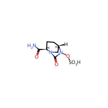 NC(=O)[C@H]1CC[C@H]2CN1C(=O)N2OS(=O)(=O)O